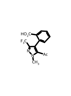 CC(=O)c1c(-c2ccccc2C(=O)O)c(C(F)(F)F)nn1C